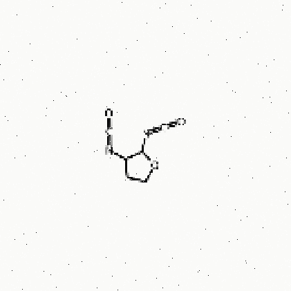 O=C=NC1CCOC1N=C=O